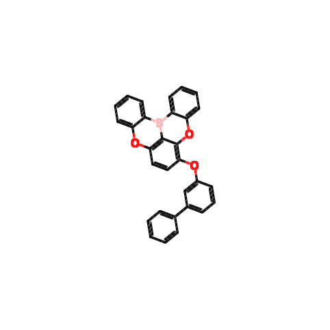 c1ccc(-c2cccc(Oc3ccc4c5c3Oc3ccccc3B5c3ccccc3O4)c2)cc1